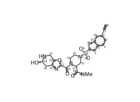 C#Cc1ccc2cc(S(=O)(=O)N3CCN(C(=O)c4nc5c(o4)CNC(O)C5)C(C(=O)NC)C3)sc2c1